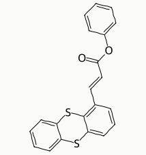 O=C(C=Cc1cccc2c1Sc1ccccc1S2)Oc1ccccc1